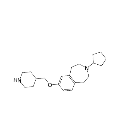 c1cc2c(cc1OCC1CCNCC1)CCN(C1CCCC1)CC2